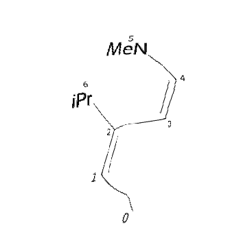 C/C=C(\C=C/NC)C(C)C